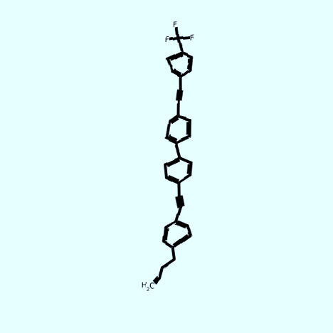 C=CCCc1ccc(C#Cc2ccc(-c3ccc(C#Cc4ccc(C(F)(F)F)cc4)cc3)cc2)cc1